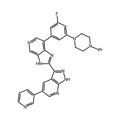 CC(C)N1CCN(c2cc(F)cc(-c3cncc4[nH]c(-c5n[nH]c6ncc(-c7cccnc7)cc56)nc34)c2)CC1